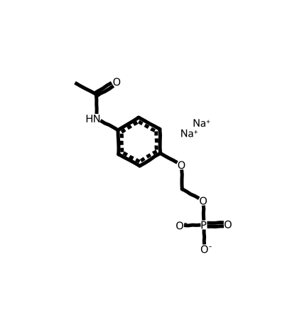 CC(=O)Nc1ccc(OCOP(=O)([O-])[O-])cc1.[Na+].[Na+]